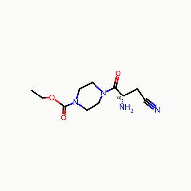 CCOC(=O)N1CCN(C(=O)[C@@H](N)CC#N)CC1